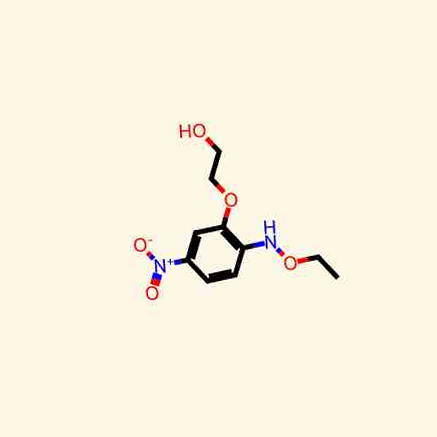 CCONc1ccc([N+](=O)[O-])cc1OCCO